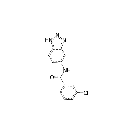 O=C(Nc1ccc2[nH]nnc2c1)c1cccc(Cl)c1